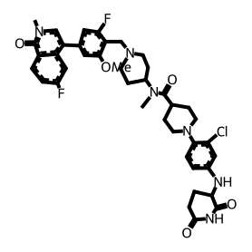 COc1cc(-c2cn(C)c(=O)c3ccc(F)cc23)cc(F)c1CN1CCC(N(C)C(=O)C2CCN(c3ccc(NC4CCC(=O)NC4=O)cc3Cl)CC2)CC1